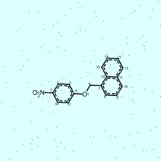 O=[N+]([O-])c1ccc(OCc2cccc3ccccc23)cc1